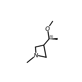 CO[C@@H](C)C1CN(C)C1